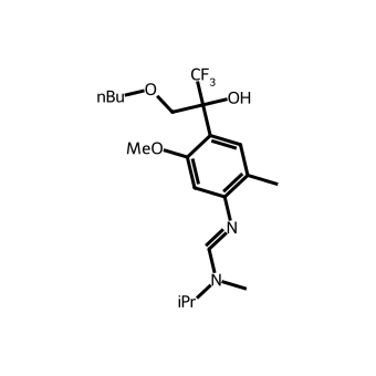 CCCCOCC(O)(c1cc(C)c(/N=C/N(C)C(C)C)cc1OC)C(F)(F)F